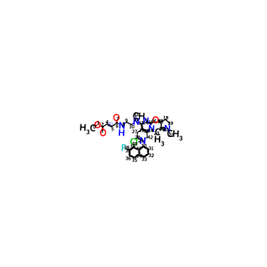 COC(=O)/C=C/C(=O)NCCN(C)c1nc(O[C@@H]2CCN(C)[C@@H]2C)nc2c1CCN(c1cccc3ccc(F)c(Cl)c13)C2